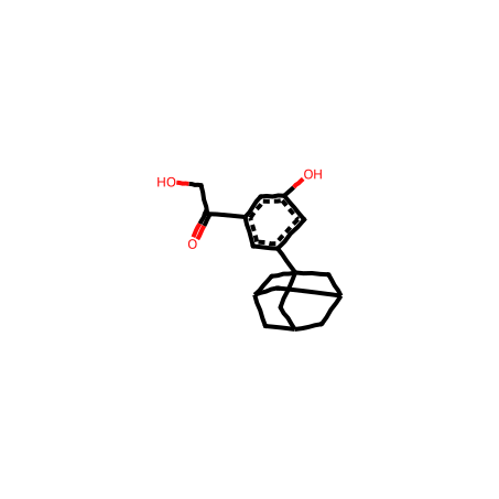 O=C(CO)c1cc(O)cc(C23CC4CC(CC(C4)C2)C3)c1